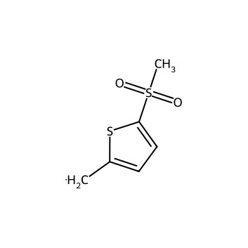 [CH2]c1ccc(S(C)(=O)=O)s1